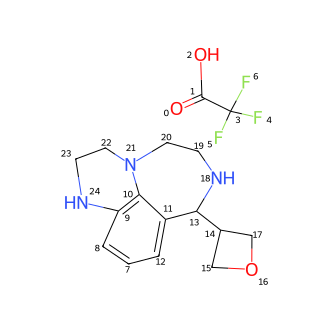 O=C(O)C(F)(F)F.c1cc2c3c(c1)C(C1COC1)NCCN3CCN2